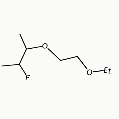 CCOCCOC(C)C(C)F